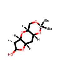 C[C@H]1C(O)O[C@H]2C[C@H]3O[Si](C(C)(C)C)(C(C)(C)C)OC[C@H]3O[C@H]21